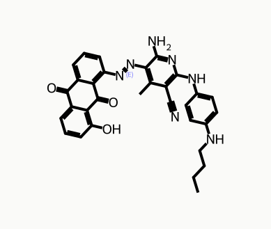 CCCCNc1ccc(Nc2nc(N)c(/N=N/c3cccc4c3C(=O)c3c(O)cccc3C4=O)c(C)c2C#N)cc1